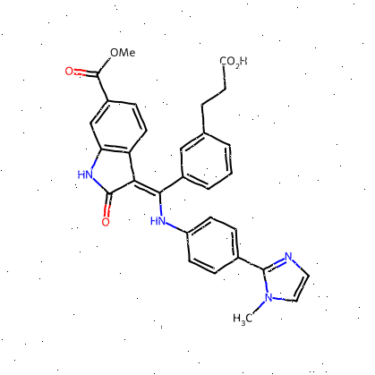 COC(=O)c1ccc2c(c1)NC(=O)/C2=C(\Nc1ccc(-c2nccn2C)cc1)c1cccc(CCC(=O)O)c1